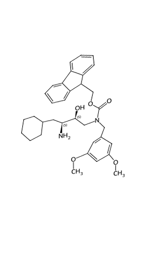 COc1cc(CN(C[C@H](O)[C@@H](N)CC2CCCCC2)C(=O)OCC2c3ccccc3-c3ccccc32)cc(OC)c1